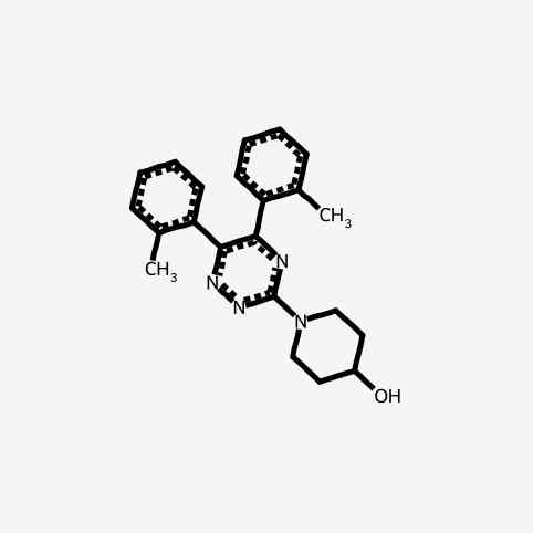 Cc1ccccc1-c1nnc(N2CCC(O)CC2)nc1-c1ccccc1C